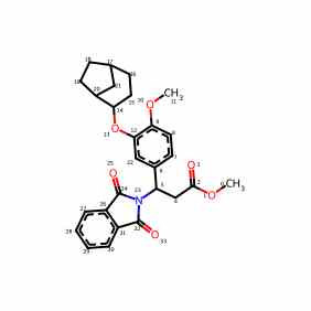 COC(=O)CC(c1ccc(OC)c(OC2CCC3CCC2C3)c1)N1C(=O)c2ccccc2C1=O